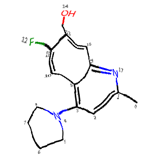 Cc1cc(N2CCCC2)c2cc(F)c(O)cc2n1